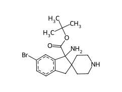 CC(C)(C)OC(=O)C1(N)c2cc(Br)ccc2CC12CCNCC2